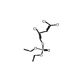 CCOP(=O)(O/C=C(/Cl)C=C(Cl)Cl)OCC